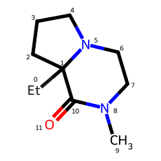 CCC12CCCN1CCN(C)C2=O